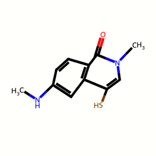 CNc1ccc2c(=O)n(C)cc(S)c2c1